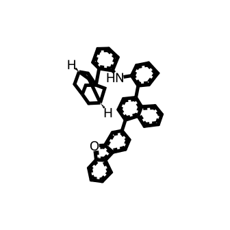 c1ccc(-c2ccc(-c3ccc4c(c3)oc3ccccc34)c3ccccc23)c(Nc2ccccc2C23CC4C[C@H](C2)C[C@@H](C4)C3)c1